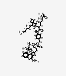 CCN(Cc1nc2c(N)nc3ccccc3c2n1CC(C)(C)O)C(=O)OCc1ccc(NC(=O)[C@H](CCCNC(N)=O)NC(=O)C2(C(=O)NCCCN)CCC2)cc1